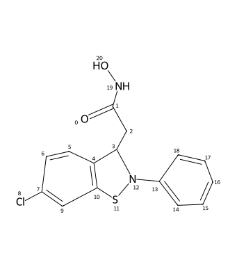 O=C(CC1c2ccc(Cl)cc2SN1c1ccccc1)NO